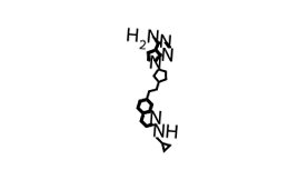 Nc1ncnc2c1ccn2C1CCC(CCc2ccc3ccc(NCC4CC4)nc3c2)C1